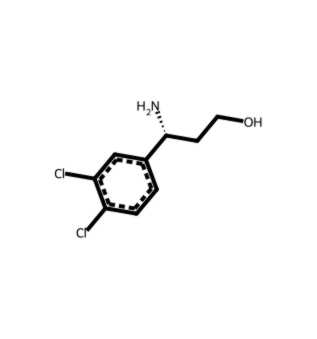 N[C@H](CCO)c1ccc(Cl)c(Cl)c1